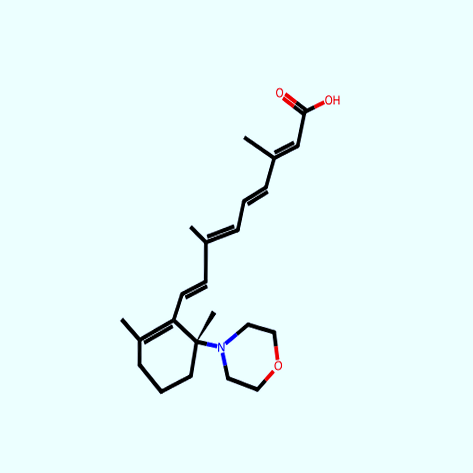 CC1=C(/C=C/C(C)=C/C=C/C(C)=C/C(=O)O)[C@](C)(N2CCOCC2)CCC1